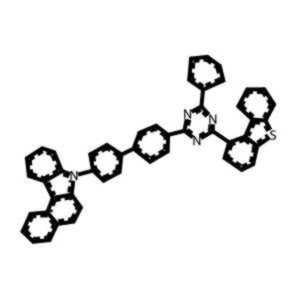 c1ccc(-c2nc(-c3ccc(-c4ccc(-n5c6ccccc6c6c7ccccc7ccc65)cc4)cc3)nc(-c3cccc4sc5ccccc5c34)n2)cc1